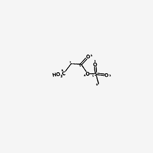 CS(=O)(=O)OC(=O)CC(=O)O